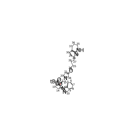 CC(C)(C)OC(=O)C(c1cccc2cnn(C3CCOC3)c12)N1CCC(OCCCCc2ccc3c(n2)NCCC3)C1